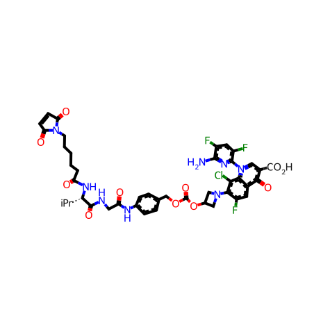 CC(C)[C@H](NC(=O)CCCCCN1C(=O)C=CC1=O)C(=O)NCC(=O)Nc1ccc(COC(=O)OC2CN(c3c(F)cc4c(=O)c(C(=O)O)cn(-c5nc(N)c(F)cc5F)c4c3Cl)C2)cc1